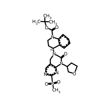 CC(C)(C)OC(=O)N1CC[C@H](N2Cc3cnc(S(C)(=O)=O)nc3N(C3CCOC3)C2=O)c2ccccc21